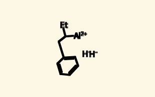 CC[CH]([Al+2])Cc1ccccc1.[H-].[H-]